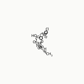 CCNCCCS(=O)(=O)NCCOc1ccc2c(c1)C(C1(c3ccc(Cl)cc3)CCC1)NCC2.O=C(O)C=CC(=O)O